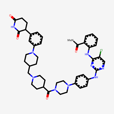 CNC(=O)c1ccccc1Nc1nc(Nc2ccc(N3CCN(C(=O)C4CCN(CC5CCN(c6cccc(C7CCC(=O)NC7=O)c6)CC5)CC4)CC3)cc2)ncc1Cl